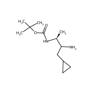 C[C@H](NC(=O)OC(C)(C)C)C(N)CC1CC1